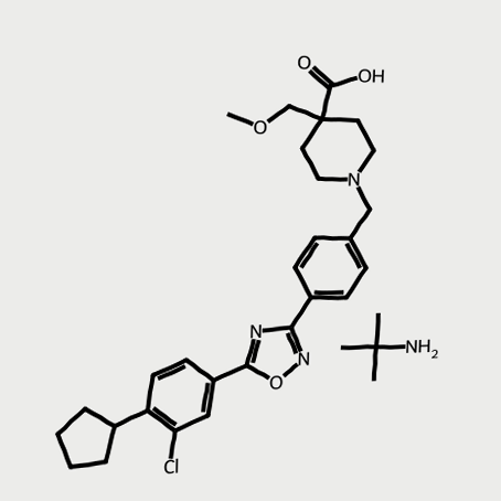 CC(C)(C)N.COCC1(C(=O)O)CCN(Cc2ccc(-c3noc(-c4ccc(C5CCCC5)c(Cl)c4)n3)cc2)CC1